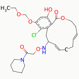 CCOCOc1cc(O)c2c(c1Cl)CC(NOCC(=O)N1CCCCC1)/C=C/CC/C=C/CCOC2=O